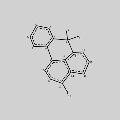 CC1(C)c2ccccc2-c2ccc(I)c3cccc1c23